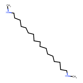 CNCCCCCCCCCCCCCCCCCNC